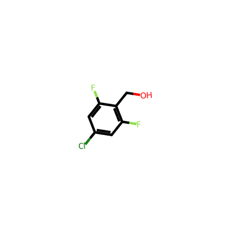 OCc1c(F)cc(Cl)cc1F